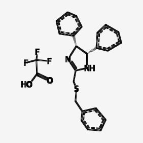 O=C(O)C(F)(F)F.c1ccc(CSCC2=N[C@H](c3ccccc3)[C@H](c3ccccc3)N2)cc1